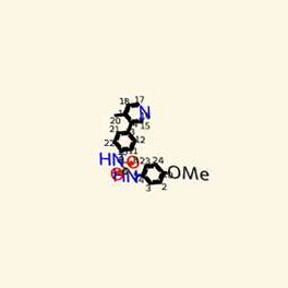 COc1ccc(NS(=O)(=O)Nc2ccc(-c3cnccc3C)cc2)cc1